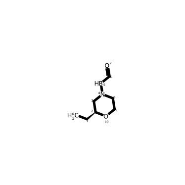 CC[C@H]1CN(BC=O)CCO1